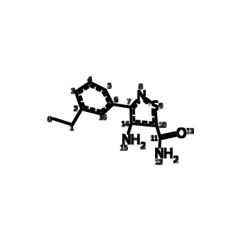 CCc1cccc(-c2nsc(C(N)=O)c2N)c1